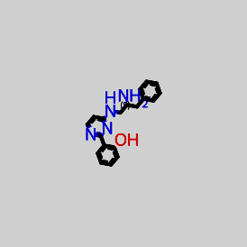 N[C@H](CNc1ccnc(-c2ccccc2O)n1)Cc1ccccc1